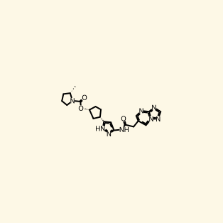 C[C@H]1CCCN1C(=O)O[C@@H]1CC[C@H](c2cc(NC(=O)Cc3cnc4ncnn4c3)n[nH]2)C1